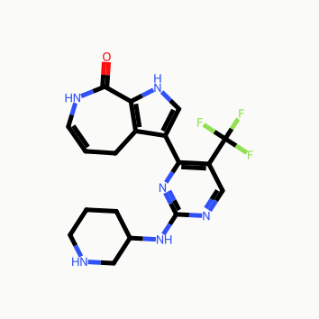 O=C1NC=CCc2c(-c3nc(NC4CCCNC4)ncc3C(F)(F)F)c[nH]c21